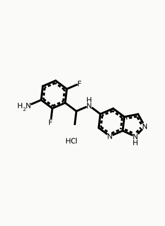 CC(Nc1cnc2[nH]ncc2c1)c1c(F)ccc(N)c1F.Cl